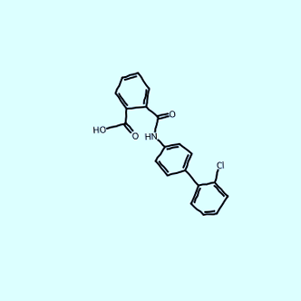 O=C(O)c1ccccc1C(=O)Nc1ccc(-c2ccccc2Cl)cc1